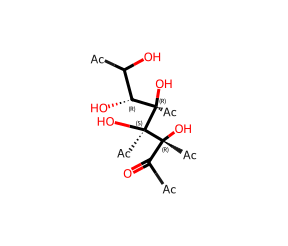 CC(=O)C(=O)[C@](O)(C(C)=O)[C@](O)(C(C)=O)[C@@](O)(C(C)=O)[C@H](O)C(O)C(C)=O